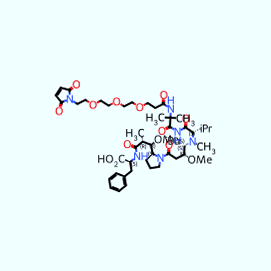 CC[C@H](C)[C@@H]([C@@H](CC(=O)N1CCC[C@H]1[C@H](OC)[C@@H](C)C(=O)N[C@@H](Cc1ccccc1)C(=O)O)OC)N(C)[C@H](C(=O)NC(=O)C(C)(C)NC(=O)CCOCCOCCOCCN1C(=O)C=CC1=O)C(C)C